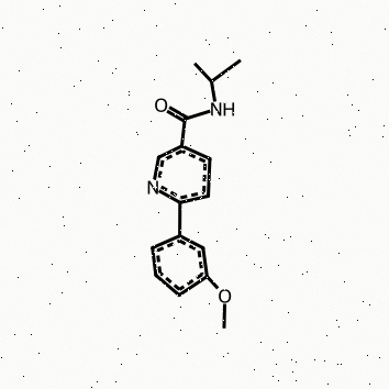 COc1cccc(-c2ccc(C(=O)NC(C)C)cn2)c1